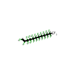 F/[C]=C(\F)C(F)(F)C(F)(F)C(F)(F)C(F)(F)C(F)(F)C(F)(F)C(F)(F)C(F)(F)C(F)(F)C(F)(F)F